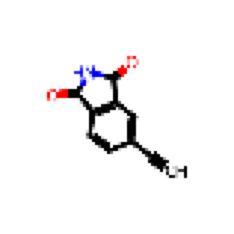 C#Cc1ccc2c(c1)C(=O)NC2=O